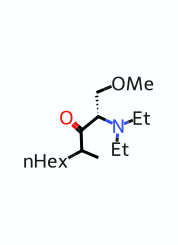 CCCCCCC(C)C(=O)[C@H](COC)N(CC)CC